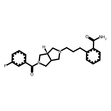 NC(=O)c1ccccc1[CH]CCN1CC2CN(C(=O)c3cccc(F)c3)C[C@@H]2C1